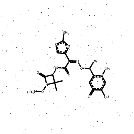 CC(C)C(O/N=C(\C(=O)N[C@@H]1C(=O)N(OS(=O)(=O)O)C1(C)C)c1csc(N)n1)c1cc(=O)c(O)cn1O